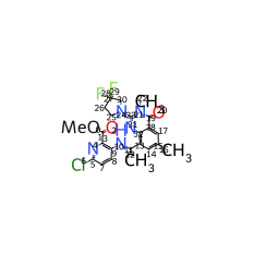 COC(=O)c1nc(Cl)ccc1N[C@H](C)c1cc(C)cc2c(=O)n(C)c(N3CCC(F)(F)C3)nc12